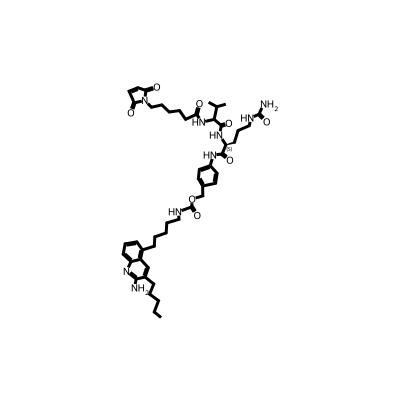 CCCCCc1cc2c(CCCCCNC(=O)OCc3ccc(NC(=O)[C@H](CCCNC(N)=O)NC(=O)C(NC(=O)CCCCCN4C(=O)C=CC4=O)C(C)C)cc3)cccc2nc1N